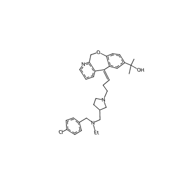 CCN(Cc1ccc(Cl)cc1)CC1CCN(CC/C=C2/c3cc(C(C)(C)O)ccc3OCc3ncccc32)C1